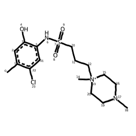 Cc1cc(O)c(NS(=O)(=O)CCC[N+]2(C)CCN(C)CC2)cc1Cl